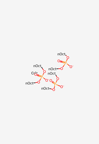 CCCCCCCCOP(=O)([O-])OCCCCCCCC.CCCCCCCCOP(=O)([O-])OCCCCCCCC.CCCCCCCCOP(=O)([O-])OCCCCCCCC.[Cr+3]